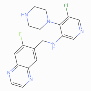 Fc1cc2nccnc2cc1CNc1cncc(Cl)c1N1CCNCC1